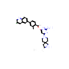 Cc1cc(-c2ccc3ncc(F)cc3c2)ccc1C(Oc1cc(N2CCC3(CC2)CNC(C(=O)O)C3)nc(N)n1)C(F)(F)F